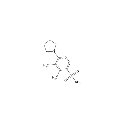 Cc1c(N2CCCC2)ccc(S(N)(=O)=O)c1C